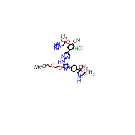 COCCOCCOc1nn(C2CCC([C@@]3(C)CNC[C@@H](C)O3)CC2)cc1Nc1ncc(-c2ccc(C#N)c(OC(C)Cn3cnnn3)c2)cn1.Cl